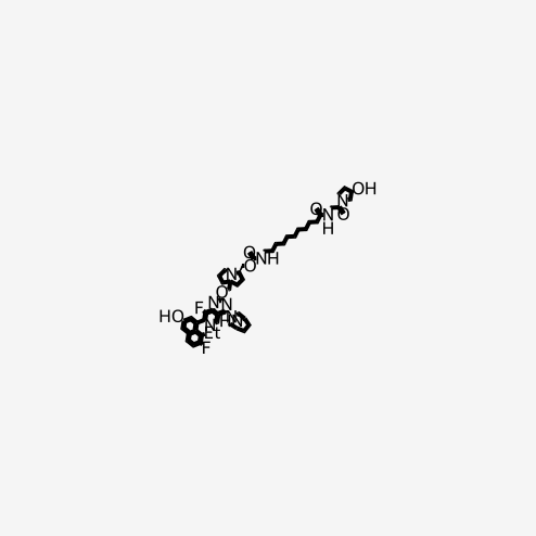 CCc1c(F)ccc2cc(O)cc(-c3ncc4c(N5CC6CCC(C5)N6)nc(OCC56CCCN5[C@@H](COC(=O)NCCCCCCCCCCC(=O)NCC(=O)N5CC[C@@H](O)C5)CC6)nc4c3F)c12